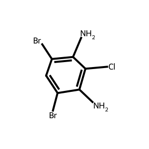 Nc1c(Br)cc(Br)c(N)c1Cl